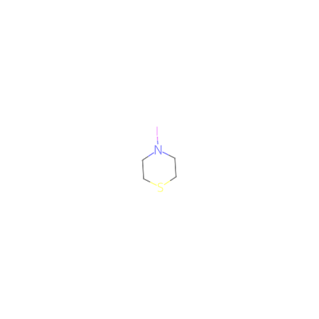 IN1CCSCC1